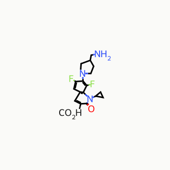 NCC1CCN(c2c(F)cc3cc(C(=O)O)c(=O)n(C4CC4)c3c2F)CC1